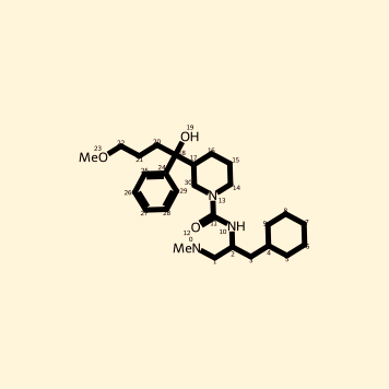 CNCC(CC1CCCCC1)NC(=O)N1CCCC(C(O)(CCCOC)c2ccccc2)C1